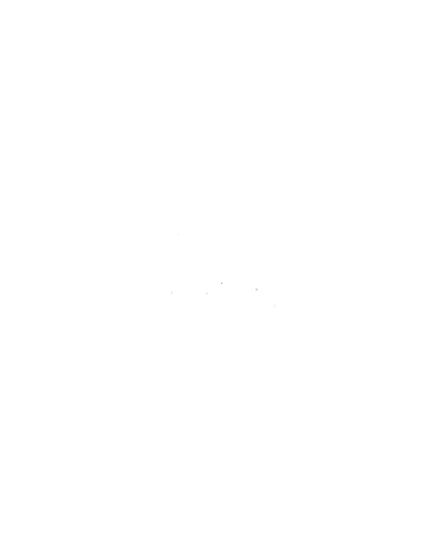 O=C(C(F)(F)F)C(F)(F)OC(F)(F)C(F)(F)OC(F)(F)OC(F)(F)OC(F)(F)F